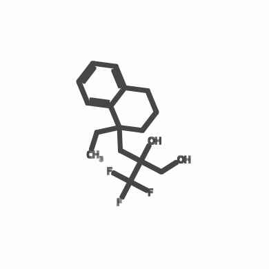 CCC1(CC(O)(CO)C(F)(F)F)CCCc2ccccc21